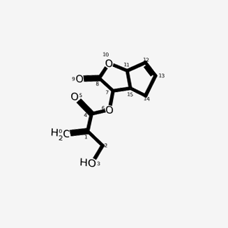 C=C(CO)C(=O)OC1C(=O)OC2C=CCC21